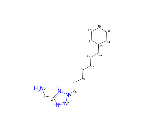 NCc1nnn(CCCCCCCC2CCCCC2)n1